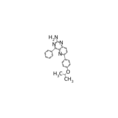 CC(C)Oc1ccc(-c2ccc3nc(N)nc(-c4ccccc4)c3n2)cc1